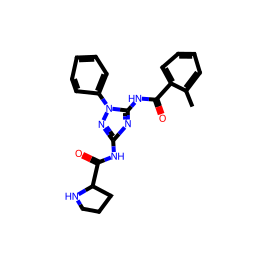 Cc1ccccc1C(=O)Nc1nc(NC(=O)C2CCCN2)nn1-c1ccccc1